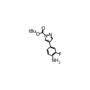 CC(C)(C)OC(=O)n1cc(-c2ccc(N)c(F)c2)cn1